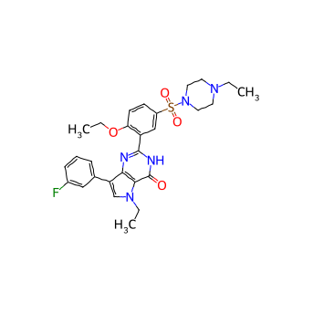 CCOc1ccc(S(=O)(=O)N2CCN(CC)CC2)cc1-c1nc2c(-c3cccc(F)c3)cn(CC)c2c(=O)[nH]1